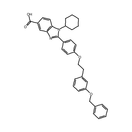 O=C(O)c1ccc2c(c1)nc(-c1ccc(OCCc3cccc(OCc4ccccc4)c3)cc1)n2C1CCCCC1